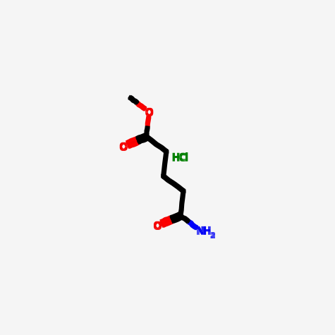 COC(=O)CCCC(N)=O.Cl